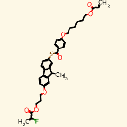 C=CC(=O)OCCCCCCOc1ccc(C(=O)Sc2ccc3c(c2)C(C)c2cc(OCCCOC(=O)C(=C)F)ccc2-3)cc1